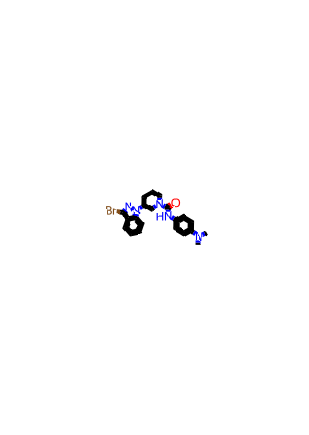 CN(C)c1ccc(NC(=O)N2CCCC(n3nc(Br)c4ccccc43)C2)cc1